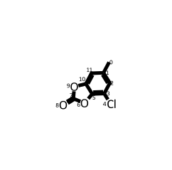 Cc1cc(Cl)c2oc(=O)oc2c1